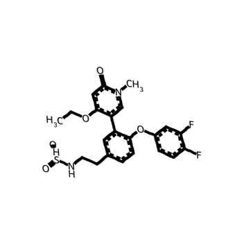 CCOc1cc(=O)n(C)cc1-c1cc(CCN[SH](=O)=O)ccc1Oc1ccc(F)c(F)c1